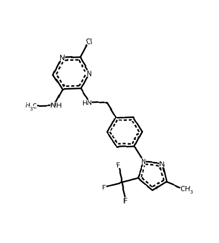 CNc1cnc(Cl)nc1NCc1ccc(-n2nc(C)cc2C(F)(F)F)cc1